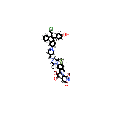 CC1CN(CC2CCN(c3ccc(C(=C(CCCl)c4ccccc4)c4ccc(O)cc4)cc3)CC2)CC(C)N1c1cc2c(cc1F)CN(C1CCC(=O)NC1=O)C2C(=O)C=O